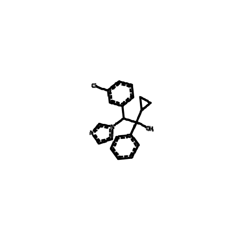 OC(c1ccccc1)(C1CC1)C(c1cccc(Cl)c1)n1ccnc1